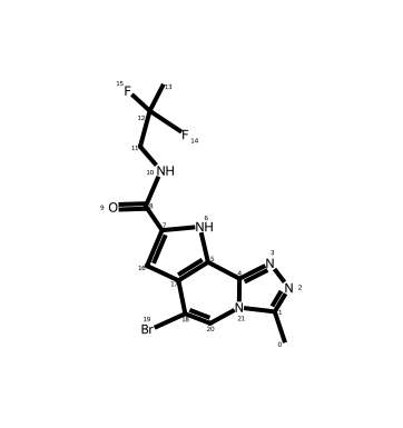 Cc1nnc2c3[nH]c(C(=O)NCC(C)(F)F)cc3c(Br)cn12